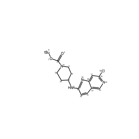 CC(C)(C)OC(=O)N1CCC(Nc2ccc3cnc(Cl)cc3n2)CC1